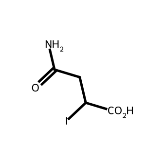 NC(=O)CC(I)C(=O)O